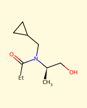 CCC(=O)N(CC1CC1)[C@H](C)CO